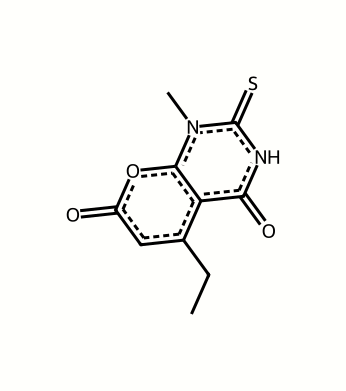 CCc1cc(=O)oc2c1c(=O)[nH]c(=S)n2C